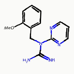 COc1ccccc1CN(C(=N)N)c1ncccn1